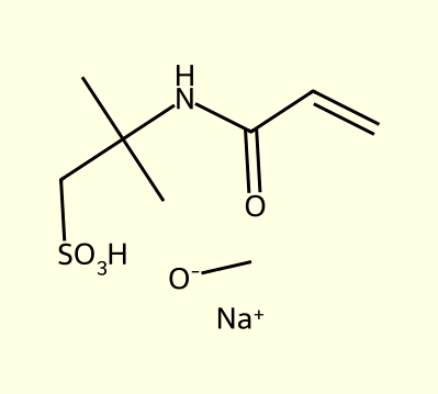 C=CC(=O)NC(C)(C)CS(=O)(=O)O.C[O-].[Na+]